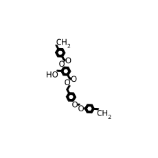 C=Cc1ccc(OCOc2ccc(CCOC(=O)c3ccc(OC(=O)c4ccc(C=C)cc4)c(CO)c3)cc2)cc1